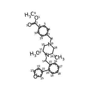 COC(=O)c1ccc(CN2C[C@@H](C)N(Cc3ccccc3-c3ccoc3)[C@@H](C)C2)cc1